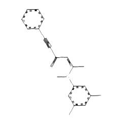 C=C(C#Cc1ccccc1)/C=C(/C)N(C)c1cc(C)cc(F)c1